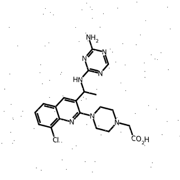 CC(Nc1ncnc(N)n1)c1cc2cccc(Cl)c2nc1N1CCN(CC(=O)O)CC1